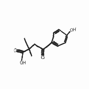 CC(C)(CC(=O)c1ccc(O)cc1)C(=O)O